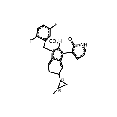 C[C@@H]1C[C@@H]1C1C=c2c(-c3ccc[nH]c3=O)c(C(=O)O)n(Cc3cc(F)ccc3F)c2=CC1